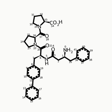 N[C@H](CC(=O)N[C@@H](Cc1ccc(-c2ccccc2)cc1)C(=O)N1CCC[C@H]1C(=O)N1CCC[C@H]1C(=O)O)Cc1ccccc1